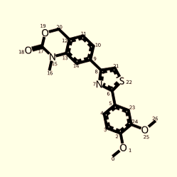 COc1ccc(-c2nc(-c3ccc4c(c3)N(C)C(=O)OC4)cs2)cc1OC